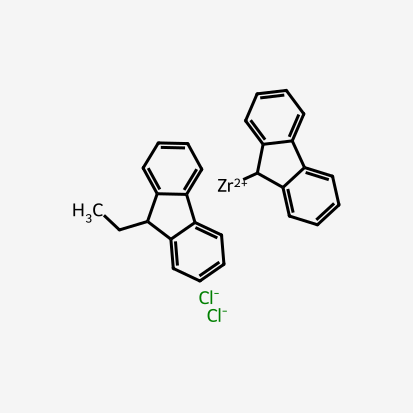 CCC1c2ccccc2-c2ccccc21.[Cl-].[Cl-].[Zr+2][CH]1c2ccccc2-c2ccccc21